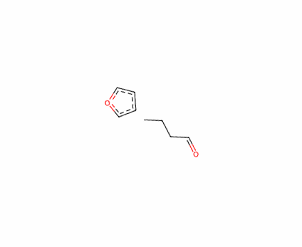 CCCC=O.c1ccoc1